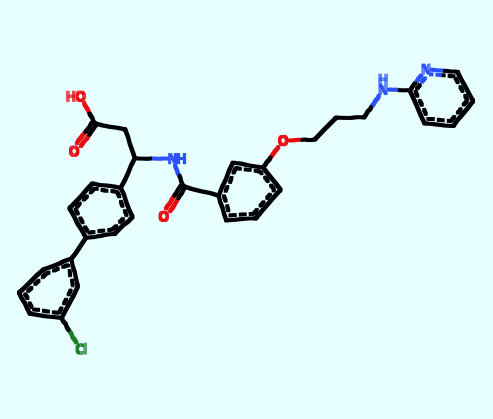 O=C(O)CC(NC(=O)c1cccc(OCCCNc2ccccn2)c1)c1ccc(-c2cccc(Cl)c2)cc1